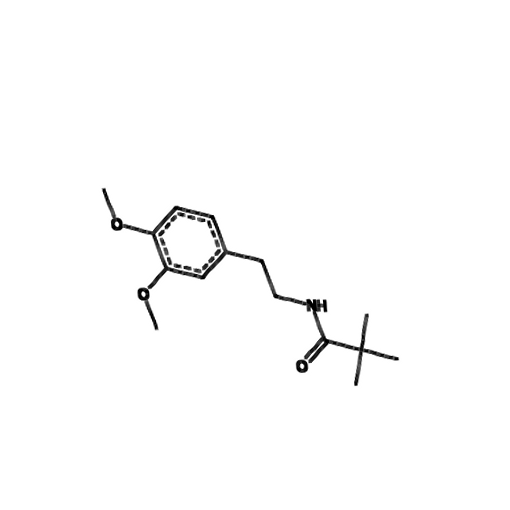 COc1ccc(CCNC(=O)C(C)(C)C)cc1OC